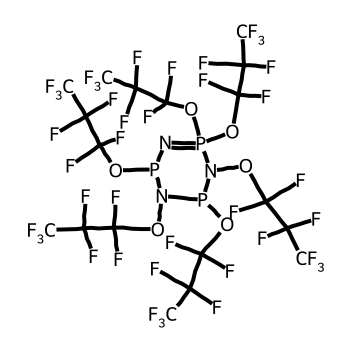 FC(F)(F)C(F)(F)C(F)(F)ON1P(OC(F)(F)C(F)(F)C(F)(F)F)N=P(OC(F)(F)C(F)(F)C(F)(F)F)(OC(F)(F)C(F)(F)C(F)(F)F)N(OC(F)(F)C(F)(F)C(F)(F)F)P1OC(F)(F)C(F)(F)C(F)(F)F